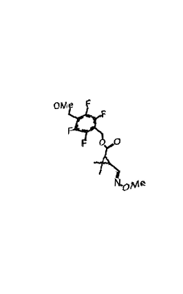 COCc1c(F)c(F)c(COC(=O)C2C(C=NOC)C2(C)C)c(F)c1F